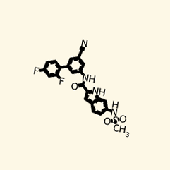 CS(=O)(=O)Nc1ccc2cc(C(=O)Nc3cc(C#N)cc(-c4ccc(F)cc4F)c3)[nH]c2c1